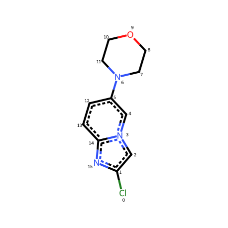 Clc1cn2cc(N3CCOCC3)ccc2n1